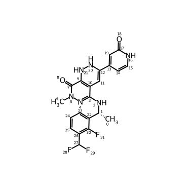 C[C@@H](Nc1nn(C)c(=O)c2c1C=C(c1cc[nH]c(=O)c1)NN2)c1cccc(C(F)F)c1F